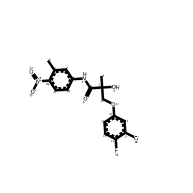 Cc1cc(NC(=O)C(C)(O)COc2ccc(F)c(Cl)c2)ccc1[N+](=O)[O-]